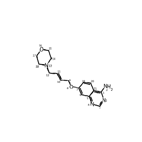 Nc1ncnc2cc(OCC=CCN3CCOCC3)ccc12